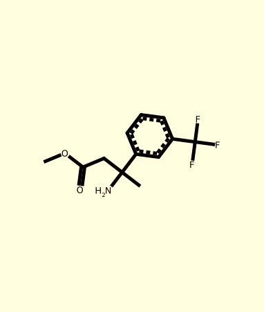 COC(=O)CC(C)(N)c1cccc(C(F)(F)F)c1